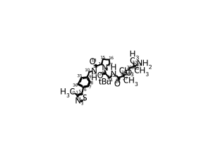 Cc1ncsc1-c1ccc(CNC(=O)C2CCCN2C(=O)C(NC(=O)C(C)(C)OCC(C)(C)N)C(C)(C)C)cc1